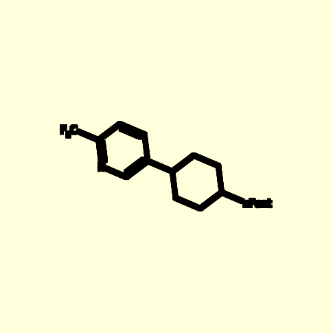 CCCCCC1CCC(c2ccc(C(F)(F)F)nc2)CC1